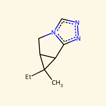 CCC1(C)C2Cn3cnnc3C21